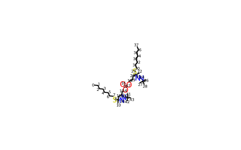 CCCCCCCCSC(C)(CCCOC(=O)OCCCC(C)(N=NC(C)(C)C)SCCCCCCCC)N=NC(C)(C)C